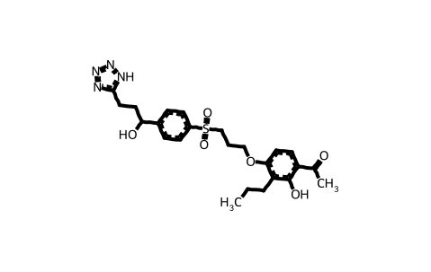 CCCc1c(OCCCS(=O)(=O)c2ccc(C(O)CCc3nnn[nH]3)cc2)ccc(C(C)=O)c1O